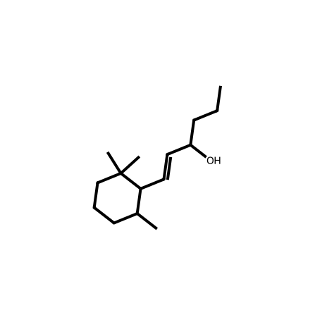 CCCC(O)C=CC1C(C)CCCC1(C)C